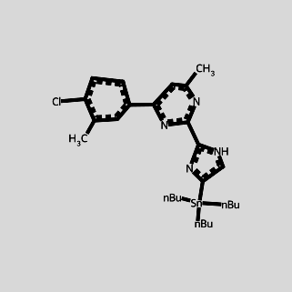 CCC[CH2][Sn]([CH2]CCC)([CH2]CCC)[c]1c[nH]c(-c2nc(C)cc(-c3ccc(Cl)c(C)c3)n2)n1